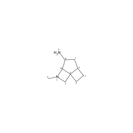 CN1CC23CCC2CC(N)C13